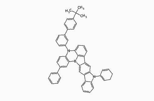 CC(C)(C)c1ccc(-c2cccc(N3c4ccc(-c5ccccc5)cc4B4c5cc6c7ccccc7n(C7=CCCC=C7)c6cc5-c5cccc3c54)c2)cc1